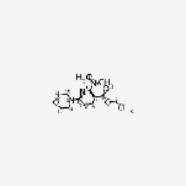 CCOC(=O)c1cnc(N2CCOCC2)nc1N(C)C